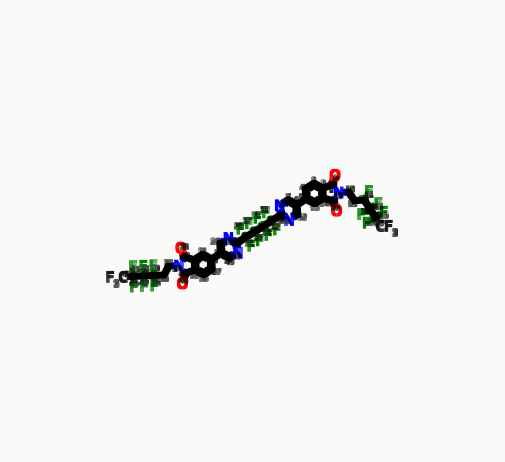 O=C1c2ccc(-c3cnc(C(F)(F)C(F)(F)C(F)(F)C(F)(F)c4ncc(-c5ccc6c(c5)C(=O)N(CCC(F)(F)C(F)(F)C(F)(F)C(F)(F)F)C6=O)cn4)nc3)cc2C(=O)N1CCC(F)C(F)(F)C(F)(F)C(F)(F)F